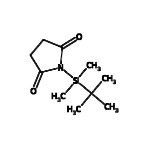 CC(C)(C)[Si](C)(C)N1C(=O)CCC1=O